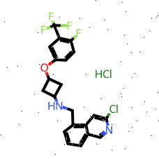 Cl.Fc1ccc(OC2CC(NCc3cccc4cnc(Cl)cc34)C2)cc1C(F)(F)F